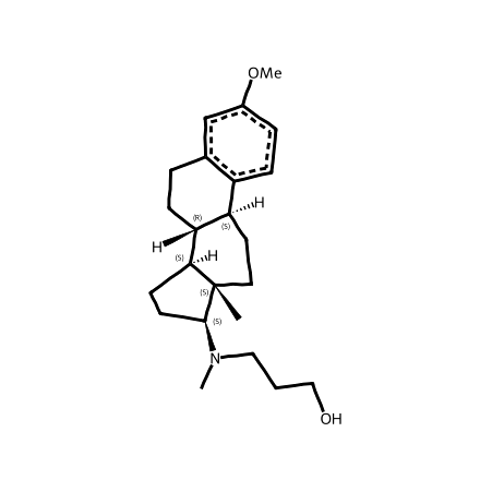 COc1ccc2c(c1)CC[C@@H]1[C@@H]2CC[C@]2(C)[C@@H](N(C)CCCO)CC[C@@H]12